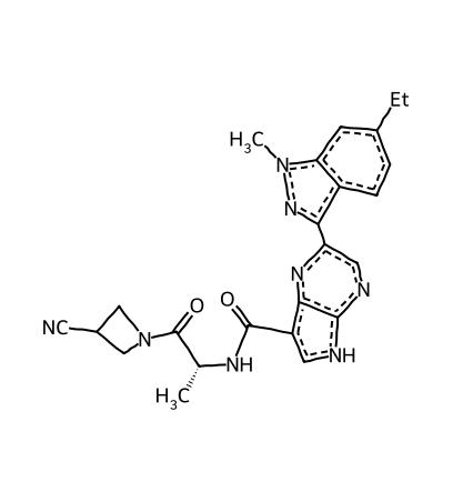 CCc1ccc2c(-c3cnc4[nH]cc(C(=O)N[C@H](C)C(=O)N5CC(C#N)C5)c4n3)nn(C)c2c1